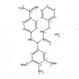 COc1cc(C(Nc2ccc(C(=N)N)cc2)C(=O)NCc2ccccc2)cc(OC)c1[N+](=O)[O-].Cl